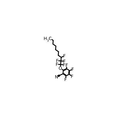 CCCCCCCC(F)C(F)(F)C(F)(F)Oc1c(F)c(F)c(F)c(F)c1C#N